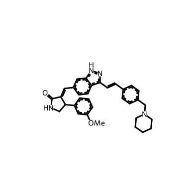 COc1cccc(C2CNC(=O)/C2=C/c2ccc3c(/C=C/c4ccc(CN5CCCCC5)cc4)n[nH]c3c2)c1